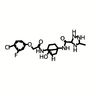 CC1NNC(C(=O)NC23CCC(NC(=O)COc4ccc(Cl)c(F)c4)(CC2)[C@@H](O)C3)N1